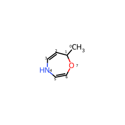 CC1C=CNC=CO1